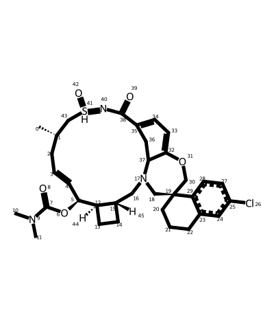 C[C@H]1C/C=C/[C@H](OC(=O)N(C)C)[C@@H]2CC[C@H]2CN2C[C@@]3(CCCc4cc(Cl)ccc43)COC3=CC=C(CC32)C(=O)/N=[SH](=O)\C1